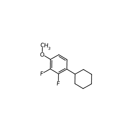 COc1ccc(C2CCCCC2)c(F)c1F